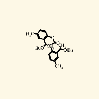 Cc1ccc(OC(=O)Oc2ccc(C)cc2C(C)OCC(C)C)c(C(C)OCC(C)C)c1